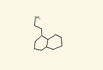 [SiH3]CCN1CCCC2CCCCC21